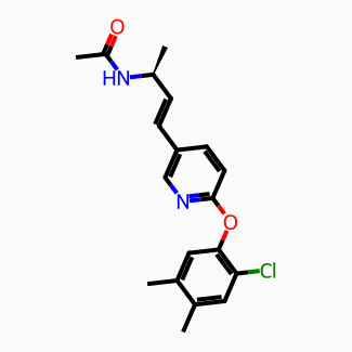 CC(=O)N[C@@H](C)/C=C/c1ccc(Oc2cc(C)c(C)cc2Cl)nc1